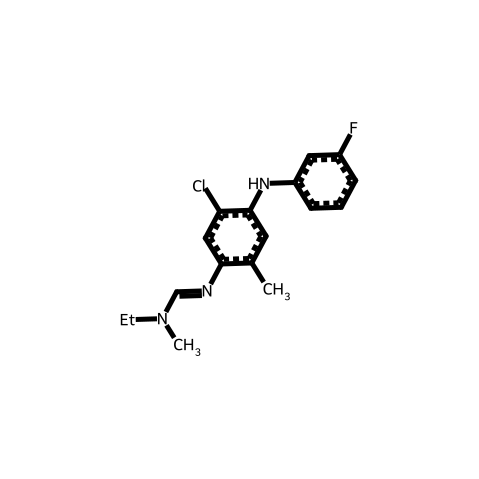 CCN(C)C=Nc1cc(Cl)c(Nc2cccc(F)c2)cc1C